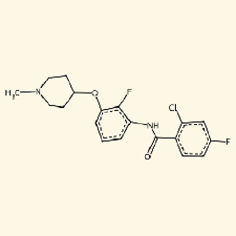 CN1CCC(Oc2cccc(NC(=O)c3ccc(F)cc3Cl)c2F)CC1